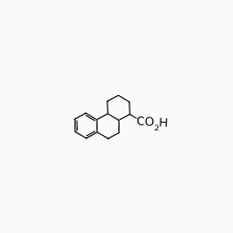 O=C(O)C1CCCC2c3ccccc3CCC12